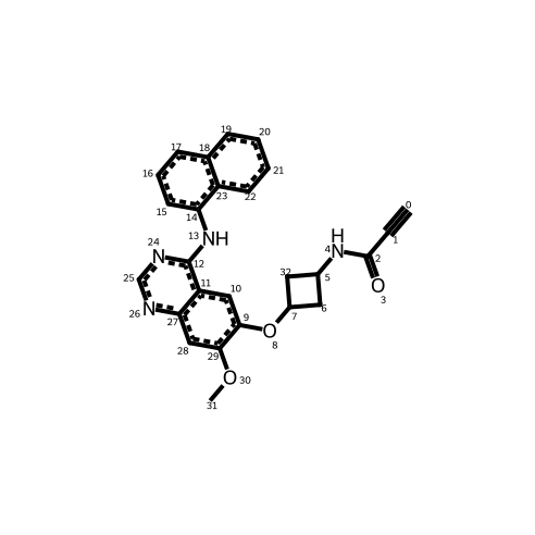 C#CC(=O)NC1CC(Oc2cc3c(Nc4cccc5ccccc45)ncnc3cc2OC)C1